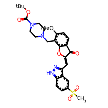 COc1ccc2c(c1CN1CCN(C(=O)OC(C)(C)C)CC1)O/C(=C\c1n[nH]c3ccc(S(C)(=O)=O)cc13)C2=O